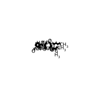 CCCCCC[C@H]1C(=O)O[C@H](C)[C@H](NC(=O)c2cccc(NC=O)c2O)C(=O)O[C@@H](C)[C@@H]1OC(=O)C(C)CC